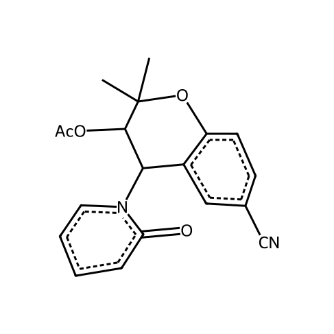 CC(=O)OC1C(n2ccccc2=O)c2cc(C#N)ccc2OC1(C)C